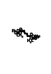 CCOC(C)(OC)OC(=O)CCCCC(=O)OC(C)(OC)OCC